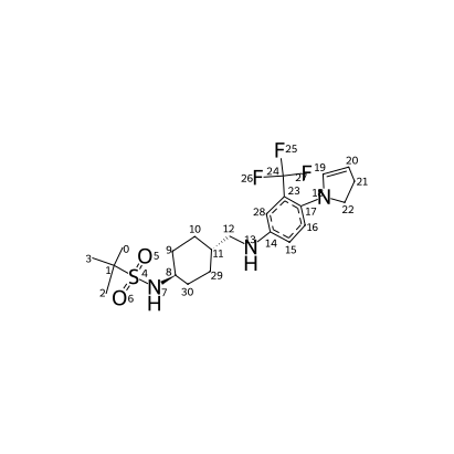 CC(C)(C)S(=O)(=O)N[C@H]1CC[C@H](CNc2ccc(N3C=CCC3)c(C(F)(F)F)c2)CC1